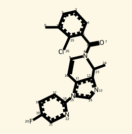 Cc1cccc(C(=O)N2C=Cc3c(ncn3-c3ccc(F)cn3)C2C)c1Cl